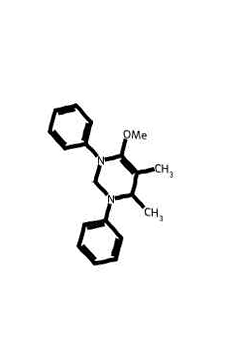 COC1=C(C)C(C)N(c2ccccc2)[CH]N1c1ccccc1